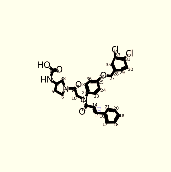 O=C(O)NC1CCN(C(=O)CN(C(=O)/C=C/c2ccccc2)c2ccc(OCc3ccc(Cl)c(Cl)c3)cc2)C1